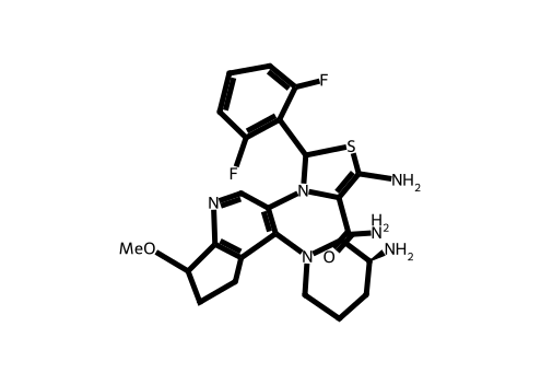 COC1CCc2c1ncc(N1C(C(N)=O)=C(N)SC1c1c(F)cccc1F)c2N1CCC[C@H](N)C1